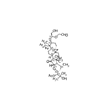 CC(=O)O[C@@H]([C@H]1C[C@@H](C)C2[C@H](O1)C(=O)[C@@]1(C)[C@@H]3CC[C@H]4C(C)(C)[C@@H](O[C@@H](CO)OCC=O)CC[C@@]45C[C@@]35CC[C@]21C)C(C)(C)O